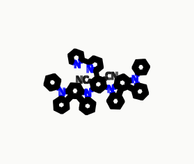 N#Cc1c(-n2c3ccccc3c3c4c5ccccc5n(-c5ccccc5)c4ccc32)cc(-n2c3ccccc3c3c4c5ccccc5n(-c5ccccc5)c4ccc32)c(C#N)c1-c1cccc(-c2ccccn2)n1